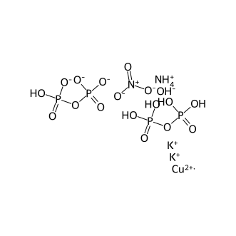 O=P(O)(O)OP(=O)(O)O.O=P([O-])([O-])OP(=O)([O-])O.O=[N+]([O-])[O-].[Cu+2].[K+].[K+].[NH4+].[OH-]